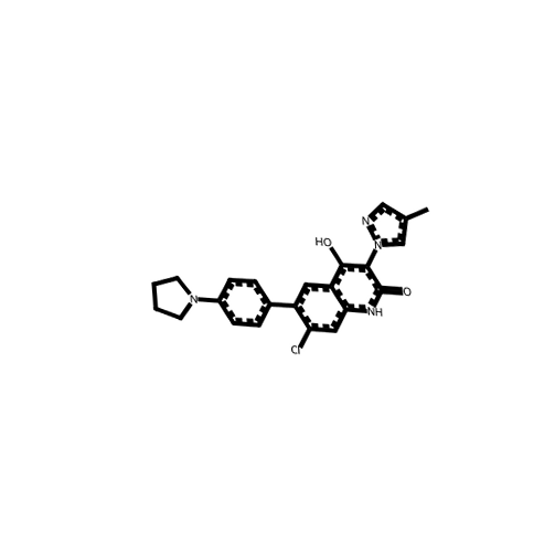 Cc1cnn(-c2c(O)c3cc(-c4ccc(N5CCCC5)cc4)c(Cl)cc3[nH]c2=O)c1